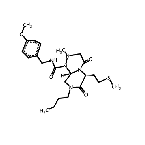 CCCCN1C[C@H]2N(C(=O)CN(C)N2C(=O)NCc2ccc(OC)cc2)[C@@H](CCSC)C1=O